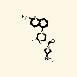 C[C@@H]1CN(c2cccc3nc(C(F)(F)F)ccc23)C[C@H](C(=O)N2CC(N)C2)O1